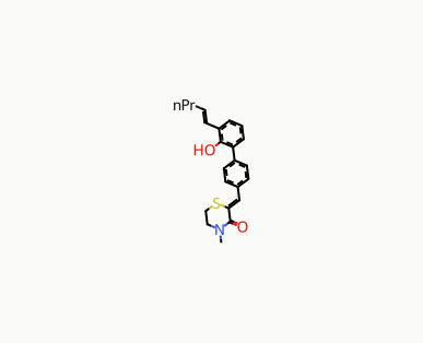 CCCC=Cc1cccc(-c2ccc(C=C3SCCN(C)C3=O)cc2)c1O